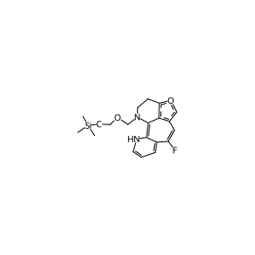 C[Si](C)(C)CCOCN1CCc2occ3c2C1=C1NC=CC=C1C(F)=C3